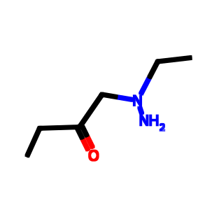 CCC(=O)CN(N)CC